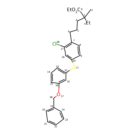 CCOC(=O)C(C)(CC)CCCc1ccc(Sc2cccc(OCc3ccccc3)c2)cc1Cl